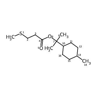 CSCCC(=O)OC(C)(C)C1CCC(C)CC1